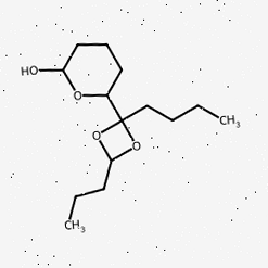 CCCCC1(C2CCCC(O)O2)OC(CCC)O1